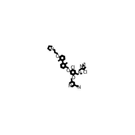 Cc1c(COc2cc(OCc3cncc(C#N)c3)c(CN(C)Cc3nn(C)cc3Cl)cc2Cl)cccc1-c1cccc(OCCCN2CCCC2)c1C